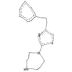 c1ccc(Cc2csc(N3CCNCC3)n2)cc1